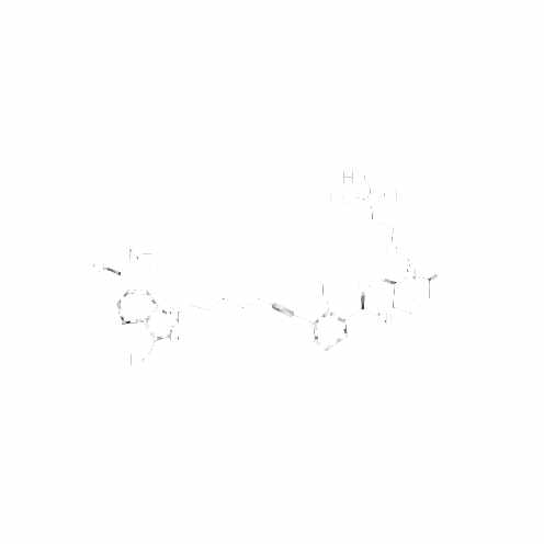 Cc1nn(CCCCCC#Cc2cccc(C(=O)NC3CCC(=O)N(COCC[Si](C)(C)C)C3=O)c2F)c2cc(C(N)=O)ccc12